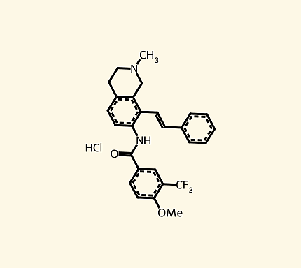 COc1ccc(C(=O)Nc2ccc3c(c2C=Cc2ccccc2)CN(C)CC3)cc1C(F)(F)F.Cl